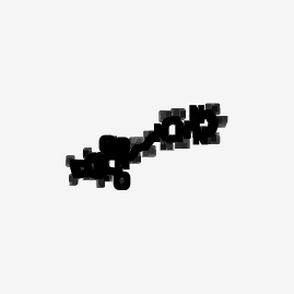 O=C1C2C3C=CC(C4C=CC43)C2S(=O)(=O)N1CCCCN1CCN(c2ncccn2)CC1